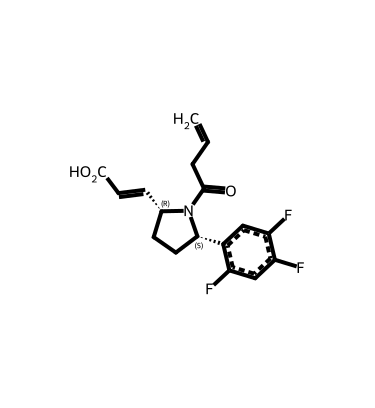 C=CCC(=O)N1[C@@H](C=CC(=O)O)CC[C@H]1c1cc(F)c(F)cc1F